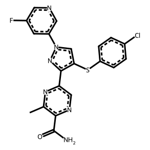 Cc1nc(-c2nn(-c3cncc(F)c3)cc2Sc2ccc(Cl)cc2)cnc1C(N)=O